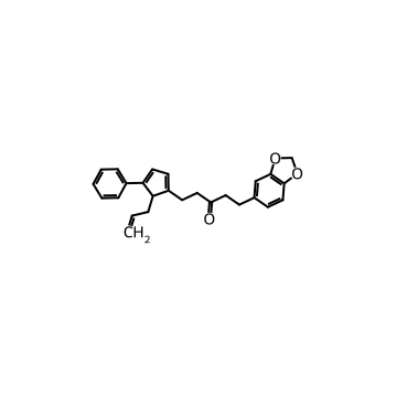 C=CCC1C(CCC(=O)CCc2ccc3c(c2)OCO3)=CC=C1c1ccccc1